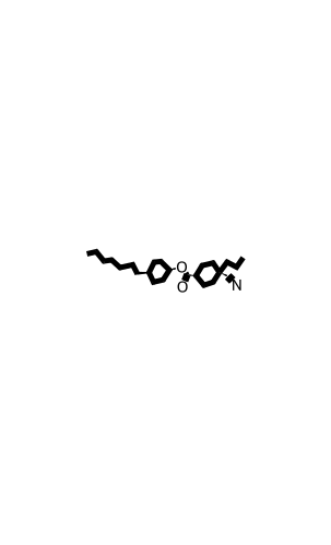 CCCCCCC[C@H]1CC[C@H](OC(=O)[C@H]2CC[C@](C#N)(CCC)CC2)CC1